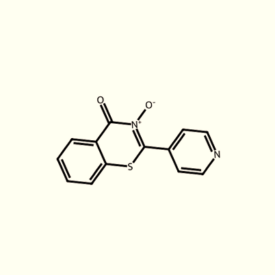 O=c1c2ccccc2sc(-c2ccncc2)[n+]1[O-]